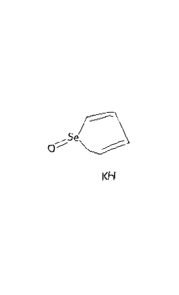 O=[Se]1C=CC=C1.[KH]